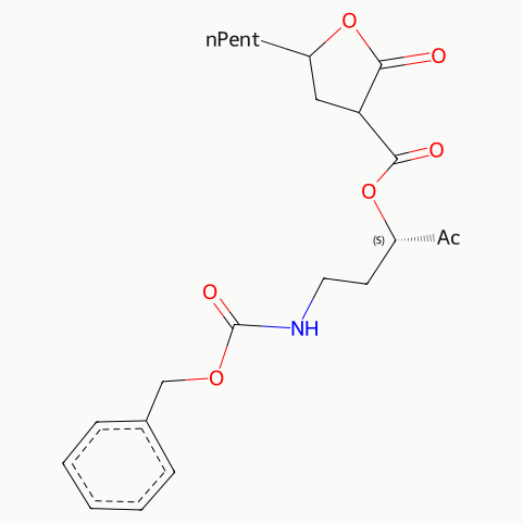 CCCCCC1CC(C(=O)O[C@@H](CCNC(=O)OCc2ccccc2)C(C)=O)C(=O)O1